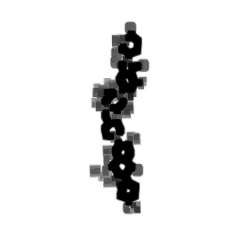 [2H]C1([2H])N(CC2CCN(c3cc4c(cc3CC)C(=O)c3c([nH]c5cc(C#N)ccc35)C4(C)C)CC2)C([2H])([2H])C([2H])([2H])N(c2cc3c(c(F)c2F)C(=O)N(C2CCC(=O)NC2=O)C3=O)C1([2H])[2H]